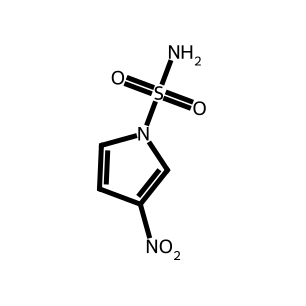 NS(=O)(=O)n1ccc([N+](=O)[O-])c1